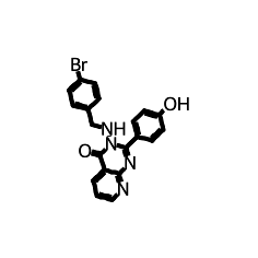 O=c1c2cccnc2nc(-c2ccc(O)cc2)n1NCc1ccc(Br)cc1